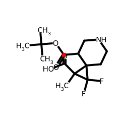 CC(C)(C)OC(=O)C1CNCCC12C(F)(F)C2(C)C(=O)O